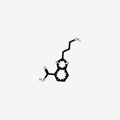 CCCCc1nc2c(C(N)=O)cccc2o1